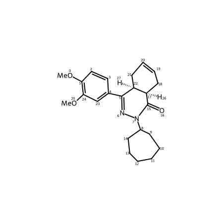 COc1ccc(C2=NN(C3CCCCCC3)C(=O)[C@@H]3CC=CC[C@H]23)cc1OC